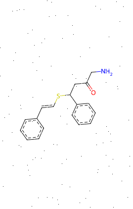 NCC(=O)CC(SC=Cc1ccccc1)c1ccccc1